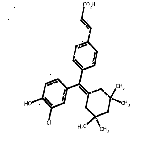 CC1(C)CC(=C(c2ccc(/C=C/C(=O)O)cc2)c2ccc(O)c(Cl)c2)CC(C)(C)C1